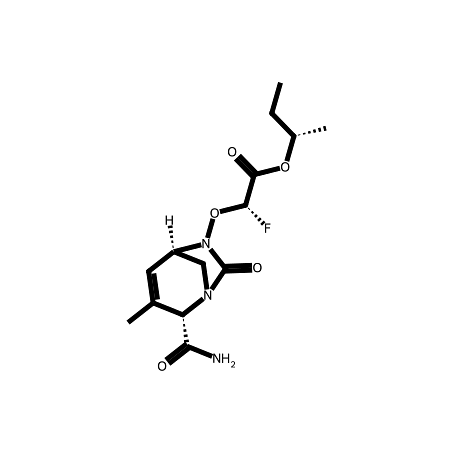 CC[C@H](C)OC(=O)[C@H](F)ON1C(=O)N2C[C@H]1C=C(C)[C@H]2C(N)=O